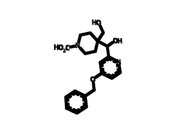 O=C(O)N1CCC(CO)(C(O)c2cc(OCc3ccccc3)ccn2)CC1